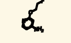 Nc1ccnc(OCCF)c1